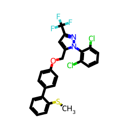 CSc1ccccc1-c1ccc(OCc2cc(C(F)(F)F)nn2-c2c(Cl)cccc2Cl)cc1